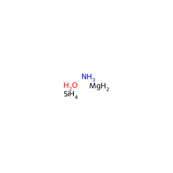 N.O.[MgH2].[SiH4]